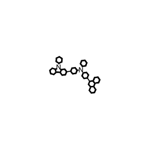 c1ccc(N(c2ccc(-c3ccc4c5ccccc5n(-c5ccccc5)c4c3)cc2)c2ccc(-c3cc4ccccc4c4ccccc34)cc2)cc1